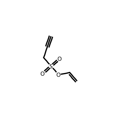 C#CCS(=O)(=O)OC=C